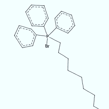 OCCCCCCCCP(Br)(c1ccccc1)(c1ccccc1)c1ccccc1